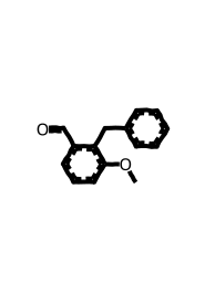 COc1cccc(C=O)c1Cc1ccccc1